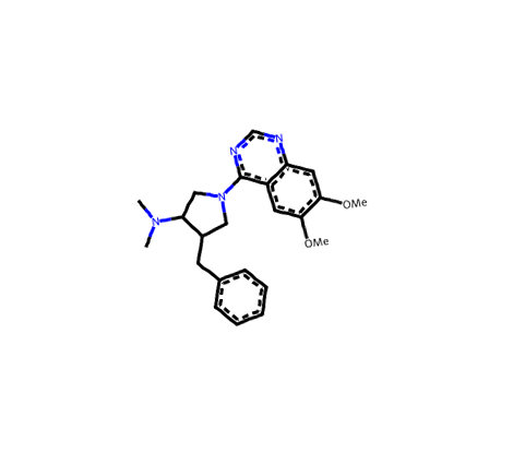 COc1cc2ncnc(N3CC(Cc4ccccc4)C(N(C)C)C3)c2cc1OC